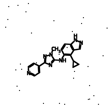 Cn1nc(-c2ccncc2)nc1Nc1ccc2[nH]ncc2c1C1CC1